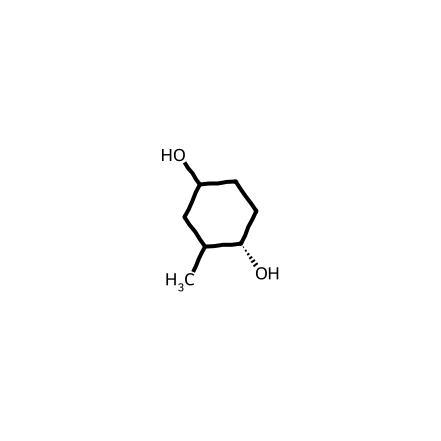 CC1CC(O)CC[C@@H]1O